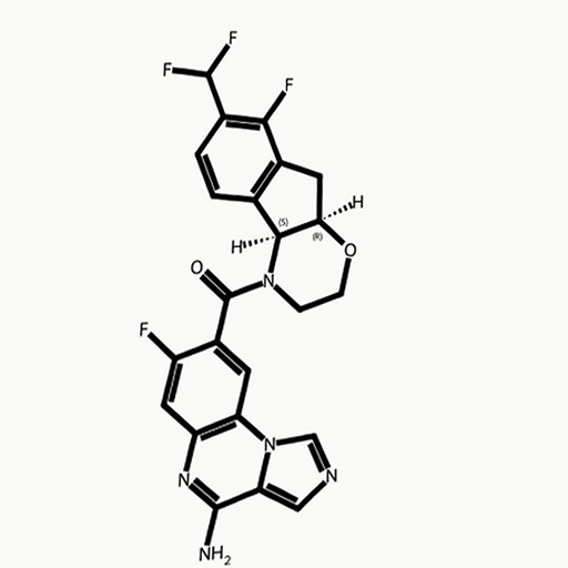 Nc1nc2cc(F)c(C(=O)N3CCO[C@@H]4Cc5c(ccc(C(F)F)c5F)[C@@H]43)cc2n2cncc12